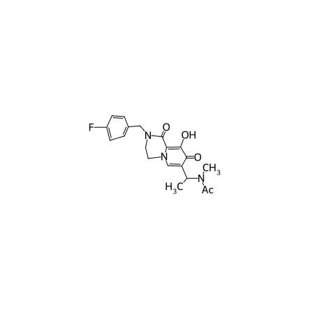 CC(=O)N(C)C(C)c1cn2c(c(O)c1=O)C(=O)N(Cc1ccc(F)cc1)CC2